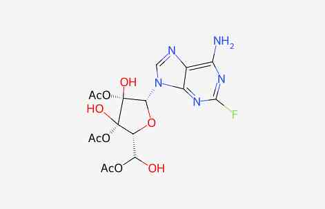 CC(=O)OC(O)[C@H]1O[C@@H](n2cnc3c(N)nc(F)nc32)[C@@](O)(OC(C)=O)[C@@]1(O)OC(C)=O